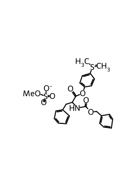 COS(=O)(=O)[O-].C[S+](C)c1ccc(OC(=O)C(Cc2ccccc2)NC(=O)OCc2ccccc2)cc1